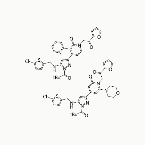 CC(C)(C)C(=O)n1nc(-c2cc(N3CCOCC3)n(CC(=O)c3ccco3)c(=O)c2)cc1NCc1ccc(Cl)s1.CC(C)(C)C(=O)n1nc(-c2ccn(CC(=O)c3ccco3)c(=O)c2-c2ccccn2)cc1NCc1ccc(Cl)s1